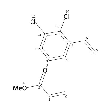 C=CC(=O)OC.C=Cc1cccc(Cl)c1Cl